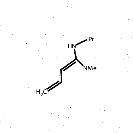 C=C/C=C(\NC)NC(C)C